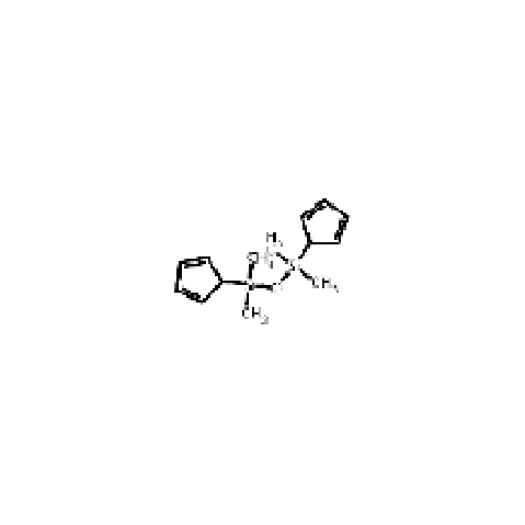 C[Si](C)(O[Si](C)(C)C1C=CC=C1)C1C=CC=C1